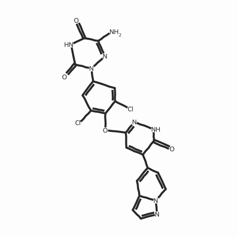 Nc1nn(-c2cc(Cl)c(Oc3cc(-c4ccn5nccc5c4)c(=O)[nH]n3)c(Cl)c2)c(=O)[nH]c1=O